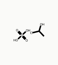 CC(O)Cl.O=S(=O)(O)O